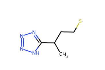 CC(CC[S])c1nnn[nH]1